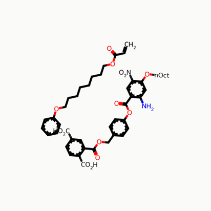 C=CC(=O)OCCCCCCCCOc1ccccc1.CCCCCCCCOc1cc(N)c(C(=O)Oc2ccc(COC(=O)c3cc(C(=O)O)ccc3C(=O)O)cc2)cc1[N+](=O)[O-]